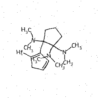 CN(C)C1(C2=[C]([Hf])CC=C2)CCCC1(N(C)C)N(C)C